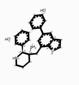 Cl.Cl.N[C@]1(Cc2cc(-c3ccccc3)cc3ccoc23)CCCN[C@H]1c1ccccc1